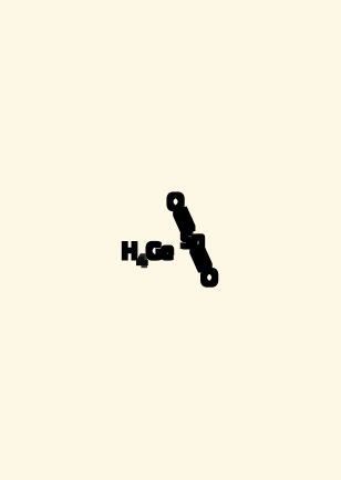 [GeH4].[O]=[Sn]=[O]